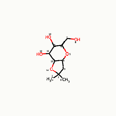 CC1(C)CC2OC(CO)C(O)C(O)C2O1